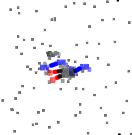 O=S(=O)([O-])O.O=S(=O)([O-])O.[Cu+2].[NH-]N.[NH-]N